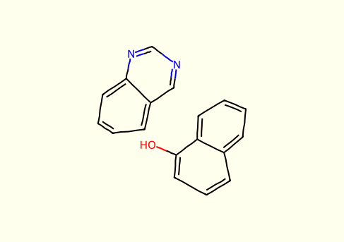 Oc1cccc2ccccc12.c1ccc2ncncc2c1